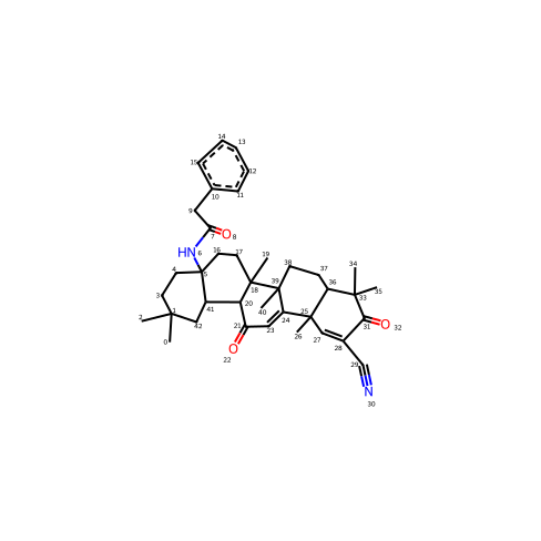 CC1(C)CCC2(NC(=O)Cc3ccccc3)CCC3(C)C(C(=O)C=C4C5(C)C=C(C#N)C(=O)C(C)(C)C5CCC43C)C2C1